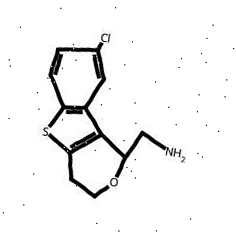 NCC1OCCc2sc3ccc(Cl)cc3c21